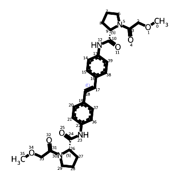 COCC(=O)N1CCC[C@H]1C(=O)Nc1ccc(/C=C/c2ccc(NC(=O)[C@@H]3CCCN3C(=O)COC)cc2)cc1